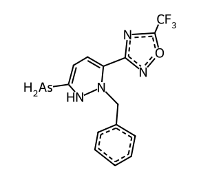 FC(F)(F)c1nc(C2=CC=C([AsH2])NN2Cc2ccccc2)no1